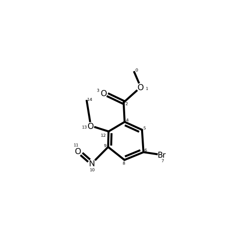 COC(=O)c1cc(Br)cc(N=O)c1OC